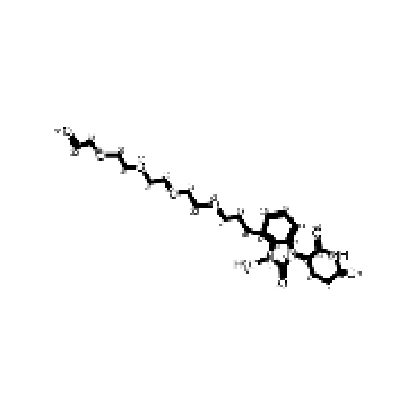 Cn1c(=O)n(C2CCC(=O)NC2=O)c2cccc(CCCOCCOCCOCCOCC=O)c21